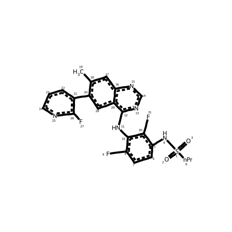 CCCS(=O)(=O)Nc1ccc(F)c(Nc2ncnc3cc(C)c(-c4cccnc4F)cc23)c1F